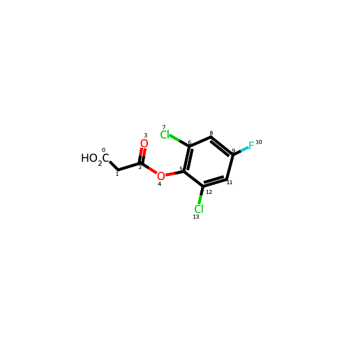 O=C(O)CC(=O)Oc1c(Cl)cc(F)cc1Cl